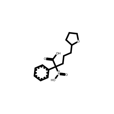 O=C(O)C(CCCC1CCCO1)(c1ccccc1)[PH](=O)O